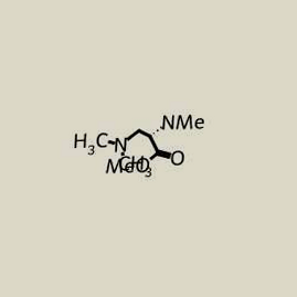 CN[C@@H](CN(C)C)C(=O)OC